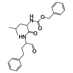 CC(C)CC(NC(=O)OCc1ccccc1)C(=O)NC(C=O)CCc1ccccc1